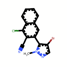 Cn1ncc(Br)c1-c1cc2ccccc2c(Cl)c1C#N